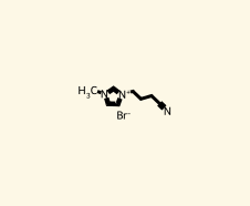 Cn1cc[n+](CCCC#N)c1.[Br-]